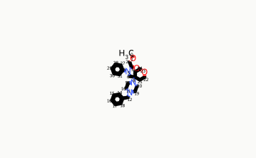 COCC(=O)N(CC1(N2CCN(Cc3ccccc3)CC2)CCOCC1)c1ccccc1